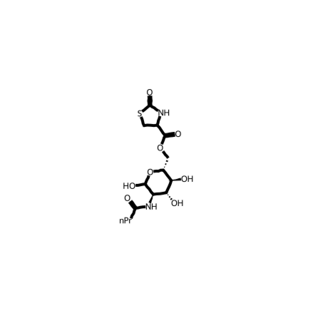 CCCC(=O)N[C@H]1C(O)O[C@H](COC(=O)C2CSC(=O)N2)[C@@H](O)[C@@H]1O